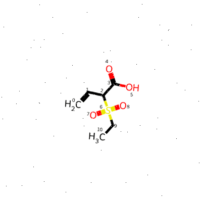 C=CC(C(=O)O)S(=O)(=O)CC